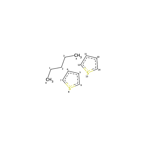 CCCCC.c1ccsc1.c1ccsc1